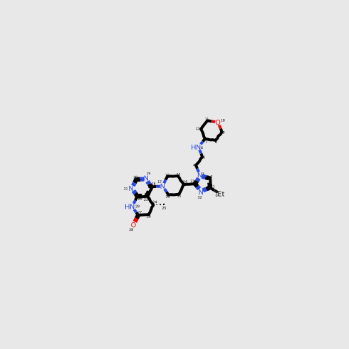 CCc1cn(CCNC2CCOCC2)c(C2CCN(c3ncnc4c3[C@H](C)CC(=O)N4)CC2)n1